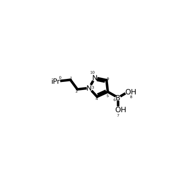 CC(C)CCn1cc(B(O)O)cn1